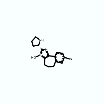 On1c([C@@H]2CCCN2)nc2c1CCCc1cc(Br)ccc1-2